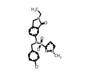 CCN1Cc2ccc(N(Cc3ccc(Cl)cc3)S(=O)(=O)c3ccn(C)n3)cc2C1=O